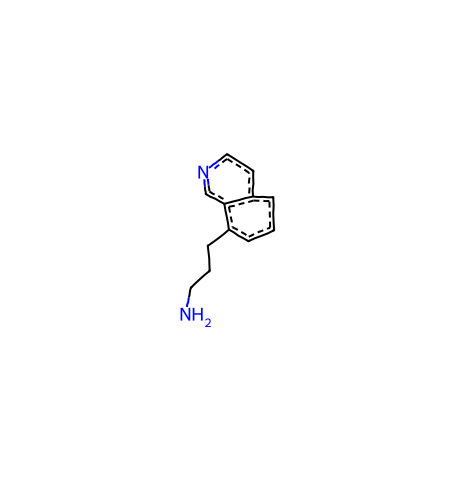 NCCCc1cccc2ccncc12